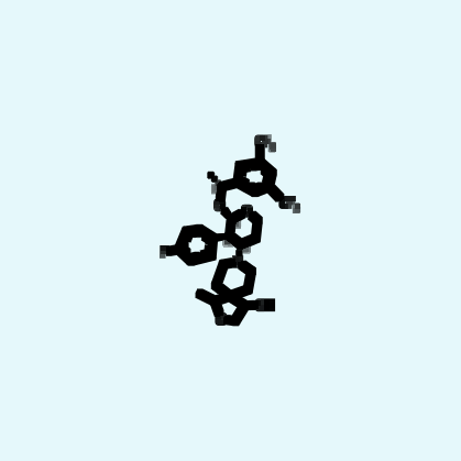 CC1OCC(O)C12CCN([C@H]1CCO[C@H](O[C@H](C)c3cc(C(F)(F)F)cc(C(F)(F)F)c3)[C@@H]1c1ccc(F)cc1)CC2